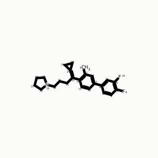 Cc1cc(-c2ccc(F)c(F)c2)ccc1C(CCCN1CCCC1)=C1CC1